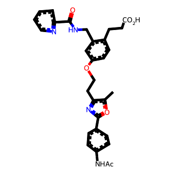 CC(=O)Nc1ccc(-c2nc(CCOc3ccc(CCC(=O)O)c(CNC(=O)c4ccccn4)c3)c(C)o2)cc1